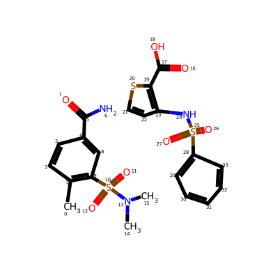 Cc1ccc(C(N)=O)cc1S(=O)(=O)N(C)C.O=C(O)c1sccc1NS(=O)(=O)c1ccccc1